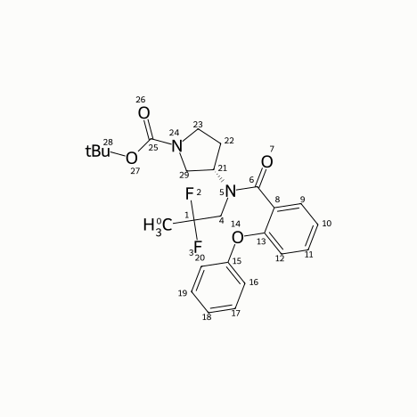 CC(F)(F)CN(C(=O)c1ccccc1Oc1ccccc1)[C@H]1CCN(C(=O)OC(C)(C)C)C1